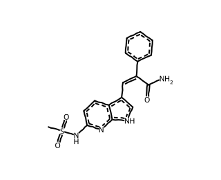 CS(=O)(=O)Nc1ccc2c(C=C(C(N)=O)c3ccccc3)c[nH]c2n1